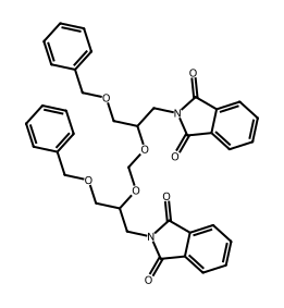 O=C1c2ccccc2C(=O)N1CC(COCc1ccccc1)OCOC(COCc1ccccc1)CN1C(=O)c2ccccc2C1=O